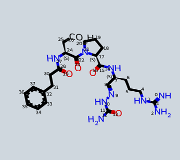 N=C(N)NCCC[C@@H](C=NNC(N)=O)NC(=O)[C@@H]1CCCN1C(=O)[C@H](CC(=O)O)NC(=O)CCc1ccccc1